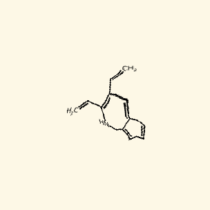 C=Cc1cc2cccc-2[nH]c1C=C